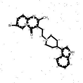 Cc1nc2ccc(Br)cn2c(=O)c1CCN1CCC(c2c[nH]c3ccccc23)CC1